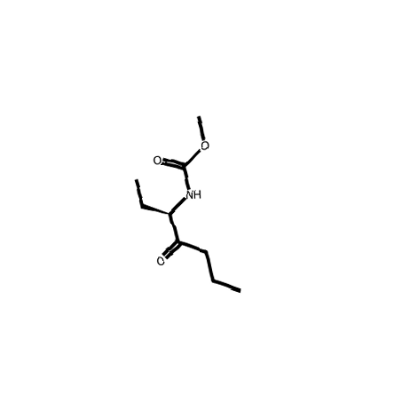 CCCC(=O)[C@@H](CC)NC(=O)OC